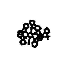 C[Si](C)(C)c1ccccc1-c1cccc2c1c1ccc3c4ccccc4sc3c1n2-c1c(C#N)c(-n2c3ccccc3c3ccccc32)c(-n2c3ccccc3c3ccccc32)c(C#N)c1-n1c2ccccc2c2ccccc21